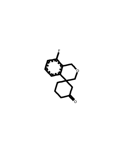 O=C1CCCC2(COCc3c(F)cccc32)C1